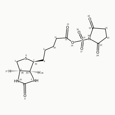 O=C1N[C@H]2[C@H](CS[C@H]2CCCCC(=O)OS(=O)(=O)N2C(=O)CCC2=O)N1